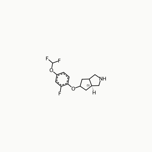 Fc1cc(OC(F)F)ccc1OC1CC2CNC[C@H]2C1